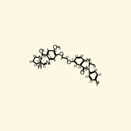 COc1cc2c(cc1OCCOc1ccc3nc(C)n(-c4ccc(F)cc4)c(=O)c3c1)N=C[C@@H]1CCCN1C2=O